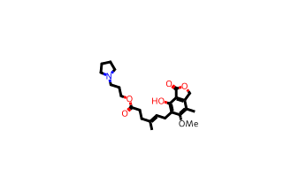 COc1c(C)c2c(c(O)c1C/C=C(\C)CCC(=O)OCCCN1CCCC1)C(=O)OC2